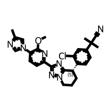 COc1nc(-c2nc3n(n2)CCC[C@H]3c2ccc(C(C)(C)C#N)cc2Cl)ccc1-n1cnc(C)c1